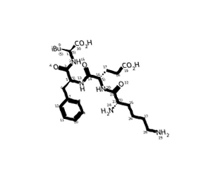 CC[C@H](C)[C@H](NC(=O)[C@H](Cc1ccccc1)NC(=O)[C@H](CCC(=O)O)NC(=O)[C@@H](N)CCCCN)C(=O)O